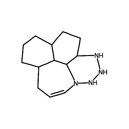 C1=CN2NNNC3CCC4CCCC(C1)C4C32